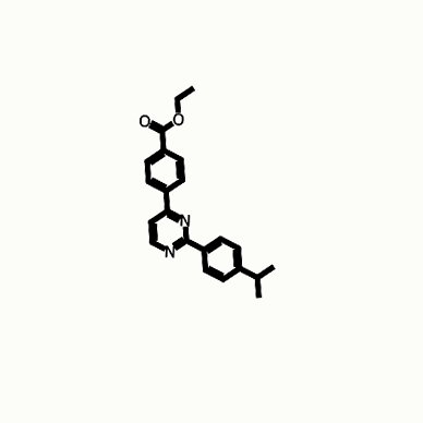 CCOC(=O)c1ccc(-c2ccnc(-c3ccc(C(C)C)cc3)n2)cc1